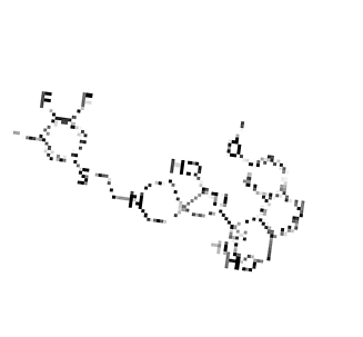 COc1ccc2ncc(CO)c([C@@H](O)CCC3(C(=O)O)CCN(CCSc4cc(F)c(F)c(F)c4)CC3)c2c1